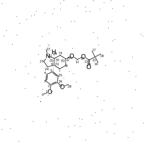 COc1ccc([C@@]23CC[C@H](OCOC(=O)C(C)(C)C)C[C@@H]2N(C)CC3)cc1OC